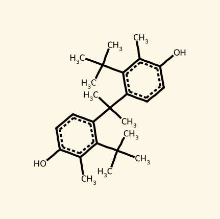 Cc1c(O)ccc(C(C)(C)c2ccc(O)c(C)c2C(C)(C)C)c1C(C)(C)C